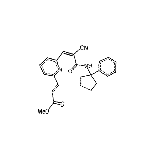 COC(=O)C=Cc1cccc(C=C(C#N)C(=O)NC2(c3ccccc3)CCCC2)n1